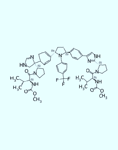 COC(=O)N[C@H](C(=O)N1CCC[C@H]1C1(C2C=CC([C@@H]3CC[C@@H](c4ccc(-c5c[nH]c([C@@H]6CCCN6C(=O)[C@@H](NC(=O)OC)C(C)C)n5)cc4)N3c3ccc(C(F)(F)F)cc3)=CC2)CNC=N1)C(C)C